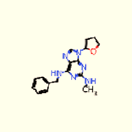 CNc1nc(NCc2ccccc2)c2ncn(C3CCCO3)c2n1